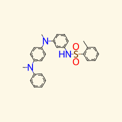 Cc1ccccc1S(=O)(=O)Nc1cccc(N(C)c2ccc(N(C)c3ccccc3)cc2)c1